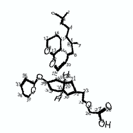 CC(C)=CCC[C@@H](C)CCC=C(OC1CCCCO1)[C@@H]1[C@@H]2CC(CCOCC(=O)O)=C[C@@H]2C[C@H]1OC1CCCCO1